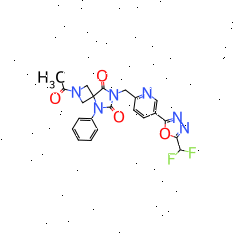 CC(=O)N1CC2(C1)C(=O)N(Cc1ccc(-c3nnc(C(F)F)o3)cn1)C(=O)N2c1ccccc1